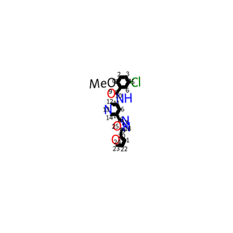 COc1ccc(Cl)cc1C(=O)Nc1cncc(-c2nnc(-c3ccco3)o2)c1